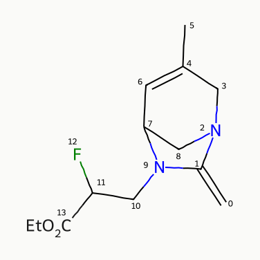 C=C1N2CC(C)=CC(C2)N1CC(F)C(=O)OCC